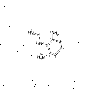 N=CNc1c(N)[c]ccc1N